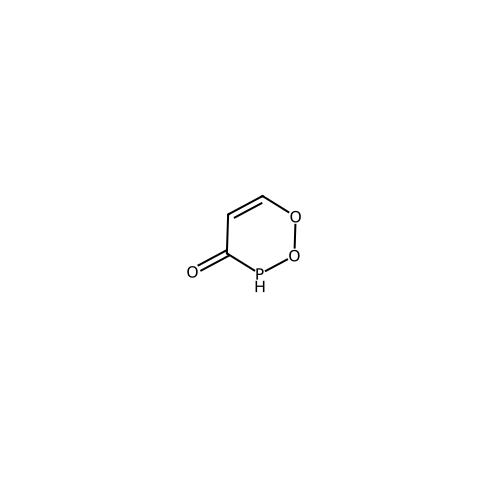 O=C1C=COOP1